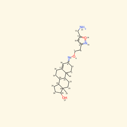 CC12CCC(=NOCCc3cc(CN)on3)C=C1CCC1C2CCC2(C)C(O)CCC12